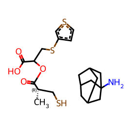 C[C@@H](CS)C(=O)OC(CSc1ccsc1)C(=O)O.NC12CC3CC(CC(C3)C1)C2